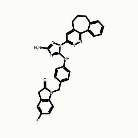 Nc1nc(Nc2ccc(CN3C(=O)Cc4cc(F)ccc43)cc2)n(-c2cc3c(nn2)-c2ccccc2CCC3)n1